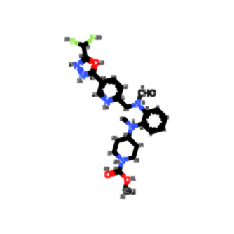 CN(c1ccccc1N(C=O)Cc1ccc(-c2nnc(C(F)F)o2)cn1)C1CCN(C(=O)OC(C)(C)C)CC1